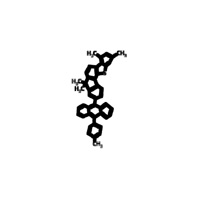 Cc1ccc(-c2c3ccccc3c(-c3ccc4c(c3)C(C)(C)c3ccc5c(sc6cc(C)cc(C)c65)c3-4)c3ccccc23)cc1